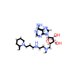 CC1CCCCN1CCCNCCN(C)C[C@H]1O[C@@H](n2cnc3c(N)ncnc32)[C@H](O)[C@@H]1O